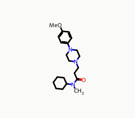 COc1ccc(N2CCN(CCC(=O)N(C)C3CCCCC3)CC2)cc1